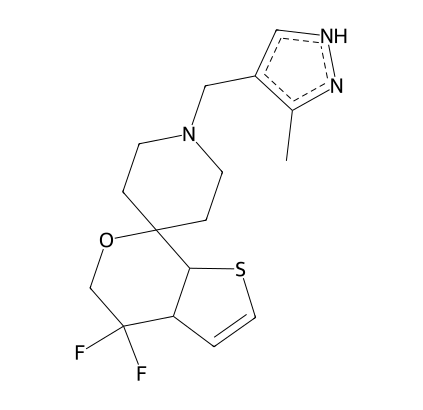 Cc1n[nH]cc1CN1CCC2(CC1)OCC(F)(F)C1C=CSC12